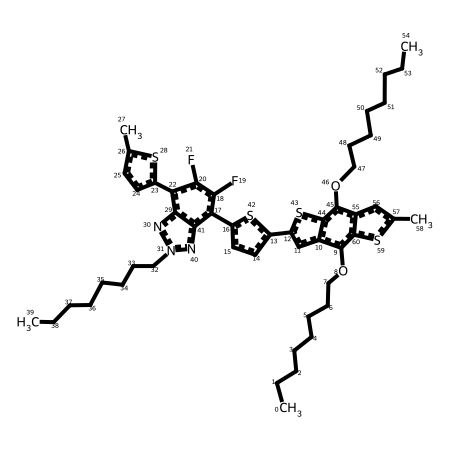 CCCCCCCCOc1c2cc(-c3ccc(-c4c(F)c(F)c(-c5ccc(C)s5)c5nn(CCCCCCCC)nc45)s3)sc2c(OCCCCCCCC)c2cc(C)sc12